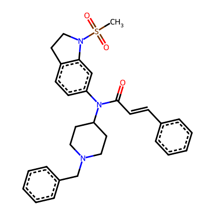 CS(=O)(=O)N1CCc2ccc(N(C(=O)C=Cc3ccccc3)C3CCN(Cc4ccccc4)CC3)cc21